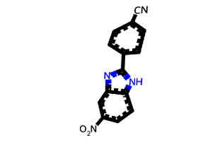 N#Cc1ccc(-c2nc3cc([N+](=O)[O-])ccc3[nH]2)cc1